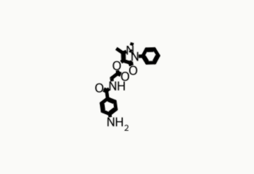 Cc1c(OC(=O)CNC(=O)c2ccc(N)cc2)c(=O)n(-c2ccccc2)n1C